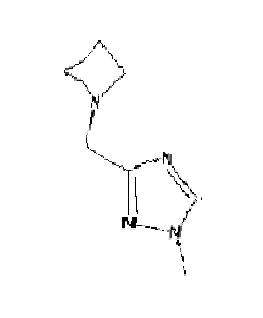 Cn1[c]nc(CN2CCC2)n1